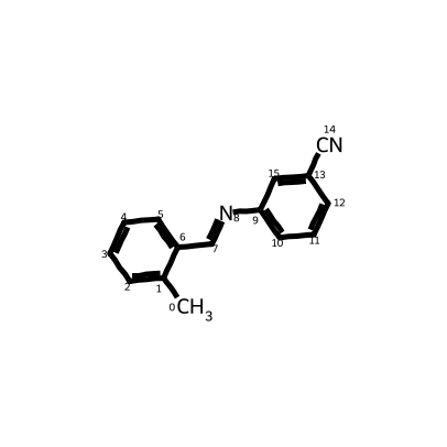 Cc1ccccc1C=Nc1cccc(C#N)c1